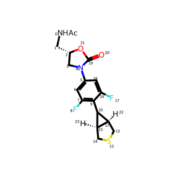 CC(=O)NC[C@H]1CN(c2cc(F)c(C3[C@H]4CSC[C@@H]34)c(F)c2)C(=O)O1